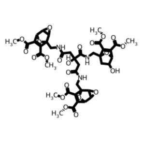 COC(=O)C1=C(C(=O)OC)C2(CNC(=O)C(O)(CC(=O)NCC34OC(C(C(=O)OC)=C3C(=O)OC)C3OC34)CC(=O)NCC34OC(C(C(=O)OC)=C3C(=O)OC)C3OC34)CC(O)C1O2